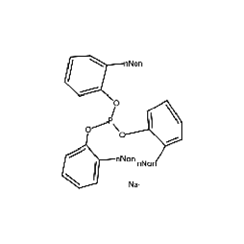 CCCCCCCCCc1ccccc1OP(Oc1ccccc1CCCCCCCCC)Oc1ccccc1CCCCCCCCC.[Na]